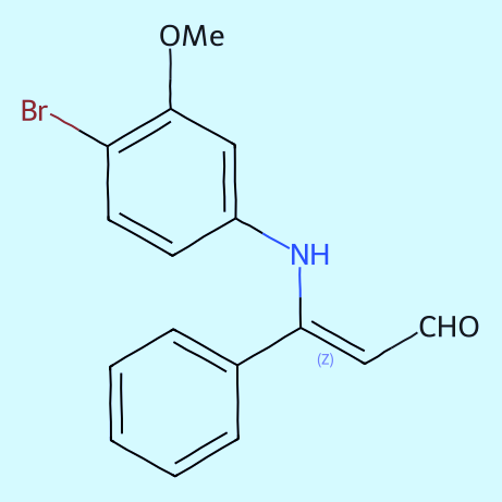 COc1cc(N/C(=C\C=O)c2ccccc2)ccc1Br